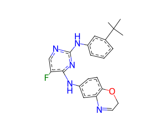 CC(C)(C)c1cccc(Nc2ncc(F)c(Nc3ccc4c(c3)N=CCO4)n2)c1